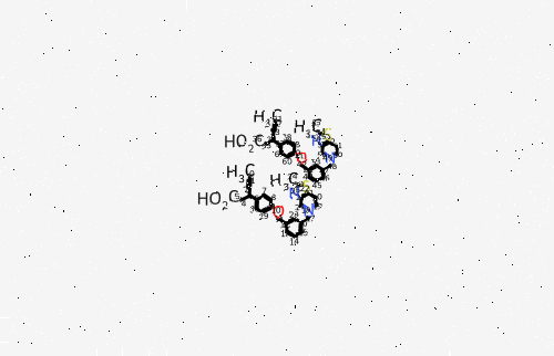 CC#CC(CC(=O)O)c1ccc(OCc2cccc(CN3CCc4sc(C)nc4C3)c2)cc1.CC#CC(CC(=O)O)c1ccc(OCc2cccc(CN3CCc4sc(C)nc4C3)c2)cc1